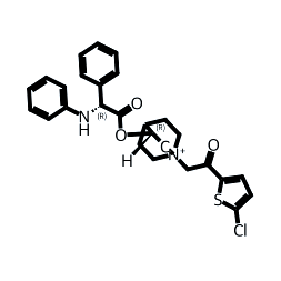 O=C(C[N+]12CCC(CC1)[C@@H](OC(=O)[C@H](Nc1ccccc1)c1ccccc1)C2)c1ccc(Cl)s1